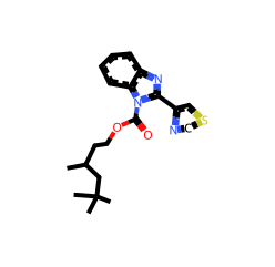 CC(CCOC(=O)n1c(-c2cscn2)nc2ccccc21)CC(C)(C)C